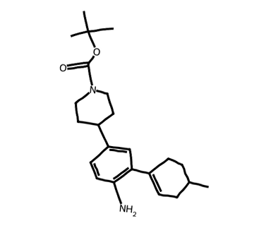 CC1CC=C(c2cc(C3CCN(C(=O)OC(C)(C)C)CC3)ccc2N)CC1